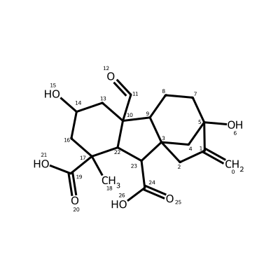 C=C1CC23CC1(O)CCC2C1(C=O)CC(O)CC(C)(C(=O)O)C1C3C(=O)O